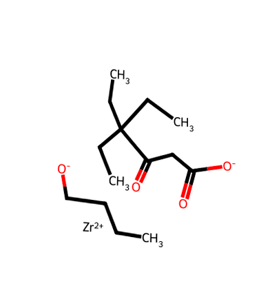 CCC(CC)(CC)C(=O)CC(=O)[O-].CCCC[O-].[Zr+2]